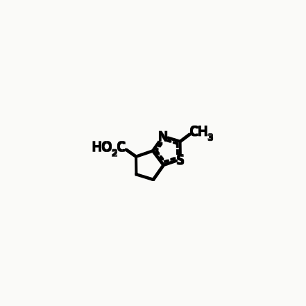 Cc1nc2c(s1)CCC2C(=O)O